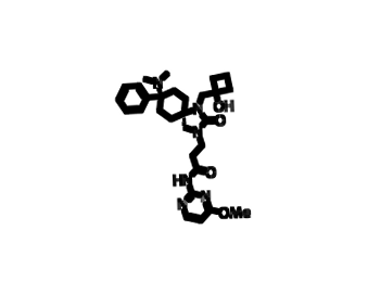 COc1ccnc(NC(=O)CCN2C[C@]3(CC[C@](c4ccccc4)(N(C)C)CC3)N(CC3(O)CCC3)C2=O)n1